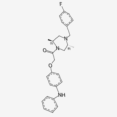 C[C@@H]1CN(C(=O)COc2ccc(Nc3ccccc3)cc2)[C@@H](C)CN1Cc1ccc(F)cc1